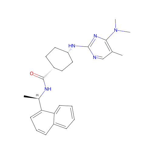 Cc1cnc(N[C@H]2CC[C@@H](C(=O)N[C@H](C)c3cccc4ccccc34)CC2)nc1N(C)C